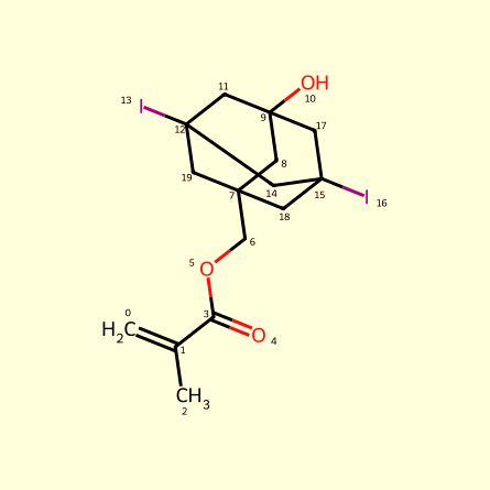 C=C(C)C(=O)OCC12CC3(O)CC(I)(CC(I)(C3)C1)C2